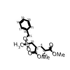 COC(=O)[C@@H](C[C@@H](F)C(=O)OC)CP(C)(=O)OCc1ccccc1